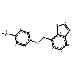 Cc1ccc(NCc2cccc3c2CC=C3)cc1